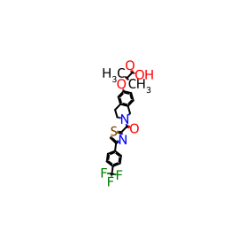 CC(C)(Oc1ccc2c(c1)CCN(C(=O)c1nc(-c3ccc(C(F)(F)F)cc3)cs1)C2)C(=O)O